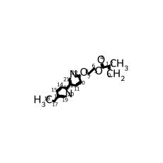 C=C(C)C(=O)OCCOc1ccc(-c2ccc(CC)cn2)cn1